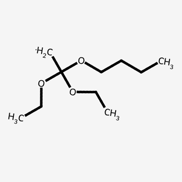 [CH2]C(OCC)(OCC)OCCCC